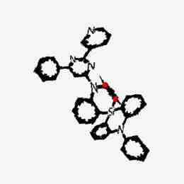 c1ccc(-c2cc(N3c4ccccc4[Si]4(c5ccccc5N(c5ccccc5)c5ccccc54)c4ccccc43)nc(-c3cccnc3)n2)cc1